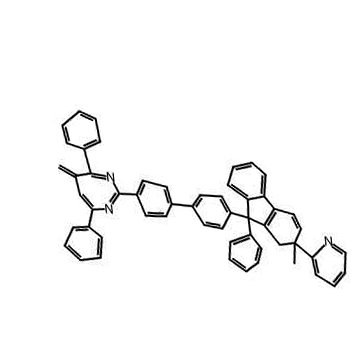 C=C1C=C(c2ccccc2)N=C(c2ccc(-c3ccc(C4(c5ccccc5)C5=C(C=CC(C)(c6ccccn6)C5)c5ccccc54)cc3)cc2)N=C1c1ccccc1